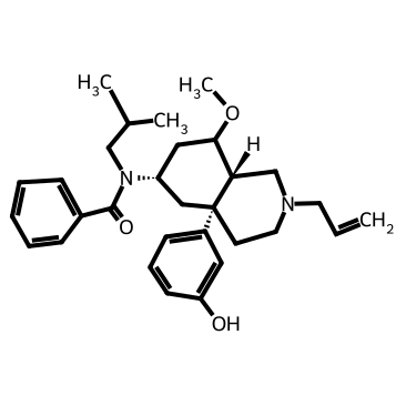 C=CCN1CC[C@@]2(c3cccc(O)c3)C[C@H](N(CC(C)C)C(=O)c3ccccc3)CC(OC)[C@@H]2C1